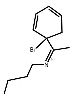 CCCC/N=C(/C)C1(Br)C=CC=CC1